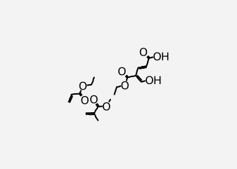 C=C(C)C(=O)OC.C=CC(=O)OCC.CCOC(=O)C(C=CC(=O)O)=CO